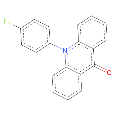 O=c1c2ccccc2n(-c2ccc(F)cc2)c2ccccc12